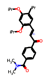 CC(C)Oc1cc(OC(C)C)c(C(C)C)cc1/C=C/C(=O)c1ccc(C(=O)N(C)C)cc1